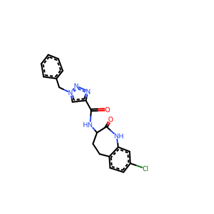 O=C(NC1CCc2ccc(Cl)cc2NC1=O)c1cn(Cc2ccccc2)nn1